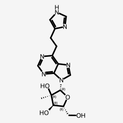 C[C@@]1(O)[C@H](O)[C@@H](CO)O[C@H]1n1cnc2c(CCc3c[nH]cn3)ncnc21